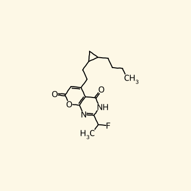 CCCCC1CC1CCc1cc(=O)oc2nc(C(C)F)[nH]c(=O)c12